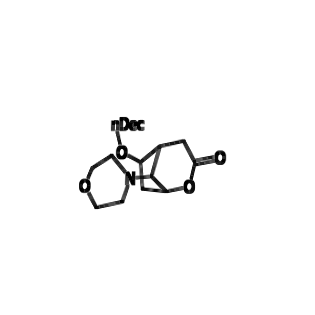 CCCCCCCCCCOC1CC2OC(=O)CC1C2N1CCOCC1